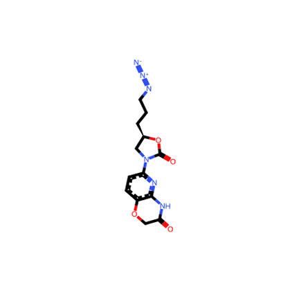 [N-]=[N+]=NCCC[C@@H]1CN(c2ccc3c(n2)NC(=O)CO3)C(=O)O1